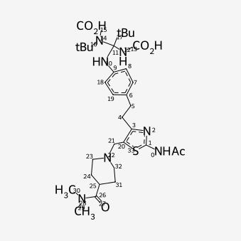 CC(=O)Nc1nc(CCc2ccc(NC(NC(=O)O)(N(C(=O)O)C(C)(C)C)C(C)(C)C)cc2)c(CN2CCC(C(=O)N(C)C)CC2)s1